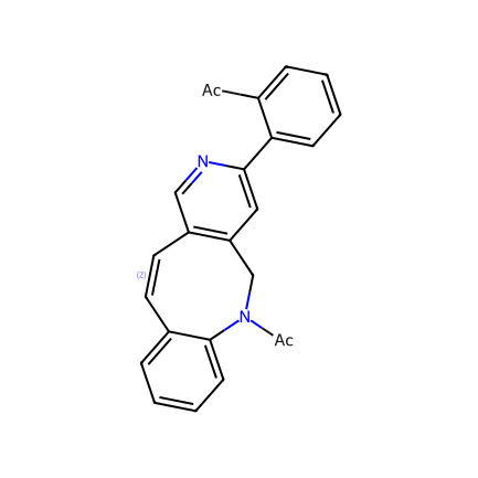 CC(=O)c1ccccc1-c1cc2c(cn1)/C=C\c1ccccc1N(C(C)=O)C2